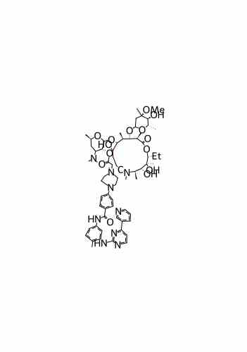 CC[C@H]1OC(=O)[C@H](C)[C@@H](O[C@H]2C[C@@](C)(OC)[C@@H](O)[C@H](C)O2)[C@H](C)[C@@H](O[C@@H]2O[C@H](C)CC(N(C)C)[C@H]2OC(=O)CN2CCN(c3ccc(C(=O)Nc4ccc(C)c(Nc5nccc(-c6cccnc6)n5)c4)cc3)CC2)[C@](C)(O)C[C@@H](C)CN(C)[C@H](C)[C@@H](O)[C@]1(C)O